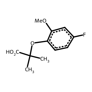 COc1cc(F)ccc1OC(C)(C)C(=O)O